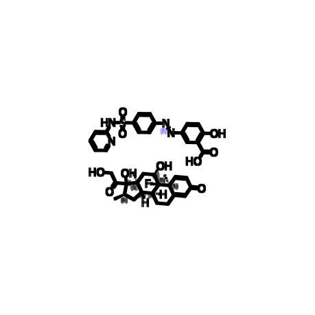 C[C@@H]1C[C@H]2[C@@H]3CCC4=CC(=O)C=C[C@]4(C)[C@@]3(F)[C@@H](O)C[C@]2(C)[C@@]1(O)C(=O)CO.O=C(O)c1cc(/N=N/c2ccc(S(=O)(=O)Nc3ccccn3)cc2)ccc1O